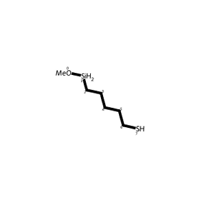 CO[SiH2]CCCCCS